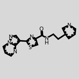 O=C(NCCc1cccnc1)c1csc(-c2cnn3cccnc23)n1